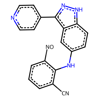 N#Cc1cccc(N=O)c1Nc1ccc2[nH]nc(-c3ccncc3)c2c1